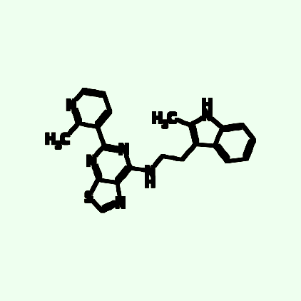 Cc1ncccc1-c1nc(NCCc2c(C)[nH]c3ccccc23)c2ncsc2n1